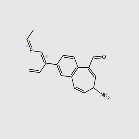 C=C/C(=C\P=C/C)c1ccc2c(c1)C=CC(N)C=C2C=O